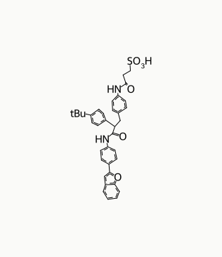 CC(C)(C)c1ccc(C(Cc2ccc(NC(=O)CCS(=O)(=O)O)cc2)C(=O)Nc2ccc(-c3cc4ccccc4o3)cc2)cc1